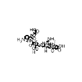 CC(C)(O/N=C(\C(=O)N[C@@H]1C(=O)N2C(C(=O)O)=C(CN3C=C(NCCNC(=O)c4cc(=O)c(O)cn4O)C(NCCN)=NC3)CSC12)C1=CSC(N)=CC=C1)C(=O)O